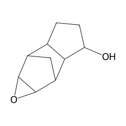 OC1CCC2C3CC(C4OC34)C12